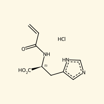 C=CC(=O)N[C@@H](Cc1cnc[nH]1)C(=O)O.Cl